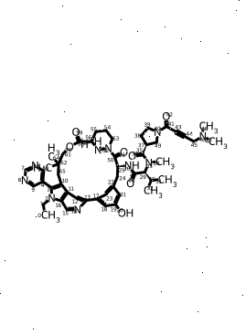 CCn1c(-c2cncnc2)c2c3cc(ncc31)-c1cc(O)cc(c1)C[C@H](NC(=O)[C@H](C(C)C)N(C)C(=O)[C@H]1CCN(C(=O)C#CCN(C)C)C1)C(=O)N1CCC[C@H](N1)C(=O)OCC(C)(C)C2